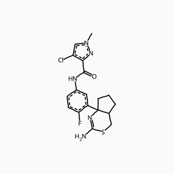 Cn1cc(Cl)c(C(=O)Nc2ccc(F)c(C34CCCC3CSC(N)=N4)c2)n1